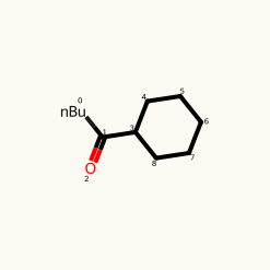 CCCCC(=O)C1CCCCC1